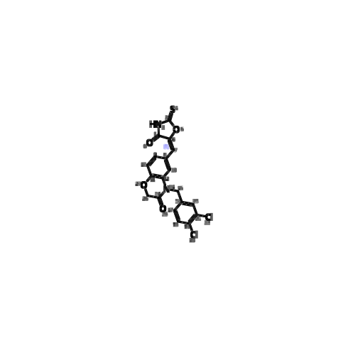 O=C1NC(=S)O/C1=C/c1ccc2c(c1)N(Cc1ccc(Cl)c(Cl)c1)C(=O)CO2